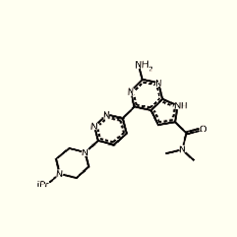 CC(C)N1CCN(c2ccc(-c3nc(N)nc4[nH]c(C(=O)N(C)C)cc34)nn2)CC1